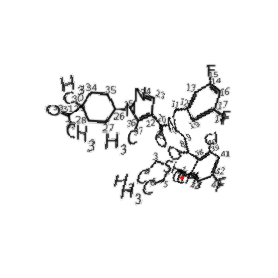 CC[Si](CC)(CC)OC(CN(Cc1cc(F)cc(F)c1)C(=O)c1cnn([C@H]2CC[C@](C)(C(C)=O)CC2)c1C)c1c(Cl)cc(F)cc1Cl